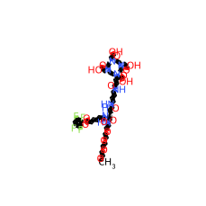 COCCOCCOCCOCCNC(=O)[C@H](CCC(=O)NCCCCNC(=O)CCC(C(=O)O)N1CCN(CC(=O)O)CCN(CC(=O)O)CCN(CC(=O)O)CC1)NC(=O)CCCCC(=O)Oc1c(F)c(F)cc(F)c1F